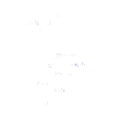 CC(C)(C)OC(=O)N1C2CCC1CN(c1cc(C#CC34CCCN3C[C@H](F)C4)nc3c(F)c(Cl)ncc13)C2